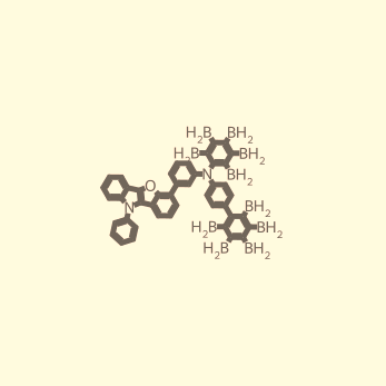 Bc1c(B)c(B)c(-c2ccc(N(c3cccc(-c4cccc5c4oc4c6ccccc6n(-c6ccccc6)c54)c3)c3c(B)c(B)c(B)c(B)c3B)cc2)c(B)c1B